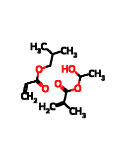 C=C(C)C(=O)OC(C)O.C=CC(=O)OCC(C)C